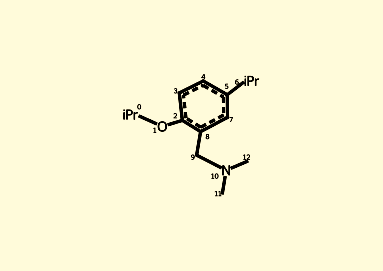 CC(C)Oc1ccc(C(C)C)cc1CN(C)C